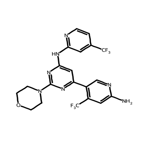 Nc1cc(C(F)(F)F)c(-c2cc(Nc3cc(C(F)(F)F)ccn3)nc(N3CCOCC3)n2)cn1